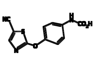 N#Cc1cnc(Oc2ccc(NC(=O)O)cc2)s1